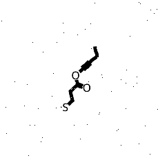 CCC#COC(=O)CC[S]